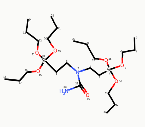 CCCO[Si](CCN(CC[Si](OCCC)(OCCC)OCCC)C(N)=O)(OCCC)OCCC